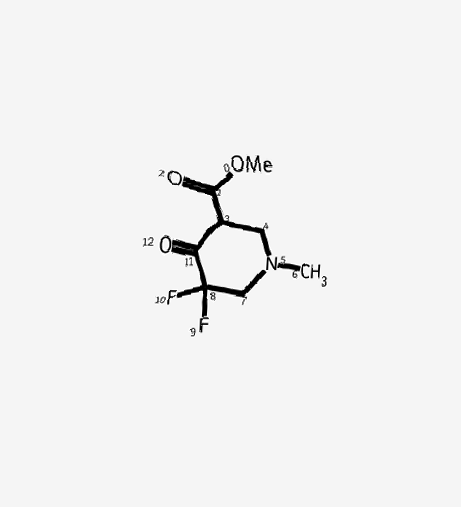 COC(=O)C1CN(C)CC(F)(F)C1=O